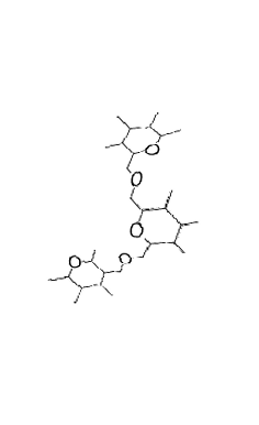 CC1OC(COCC2OC(COCC3C(C)OC(C)C(C)C3C)C(C)C(C)C2C)C(C)C(C)C1C